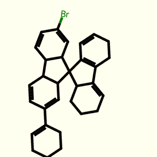 BrC1=CC2C(C=C1)C1C=CC(C3=CCCCC3)=CC1C21C2=C(CCC=C2)C2=CCCCC21